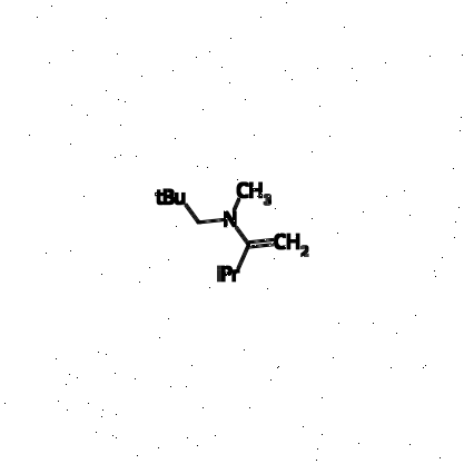 C=C(C(C)C)N(C)CC(C)(C)C